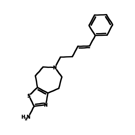 Nc1nc2c(s1)CCN(CCC=Cc1ccccc1)CC2